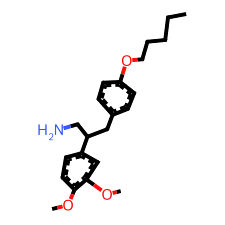 CCCCCOc1ccc(CC(CN)c2ccc(OC)c(OC)c2)cc1